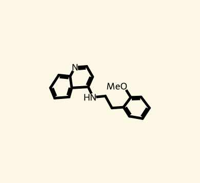 COc1ccccc1CCNc1ccnc2ccccc12